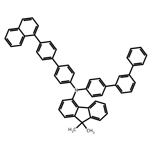 CC1(C)c2ccccc2-c2c(N(c3ccc(-c4ccc(-c5cccc6ccccc56)cc4)cc3)c3ccc(-c4cccc(-c5ccccc5)c4)cc3)cccc21